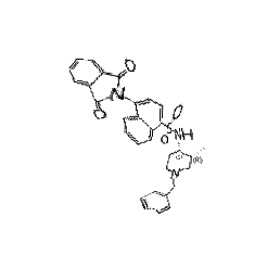 C[C@@H]1CN(Cc2ccccc2)CC[C@@H]1NS(=O)(=O)c1ccc(N2C(=O)c3ccccc3C2=O)c2ccccc12